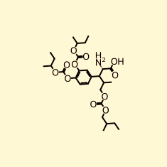 CCC(C)COC(=O)OCC(C)C(c1ccc(OC(=O)OC(C)CC)c(OC(=O)OC(C)CC)c1)[C@H](N)C(=O)O